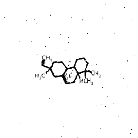 C=C[C@]1(C)CC[C@@H]2C(=CC[C@H]3C(C)(C)CCC[C@]23C)C1